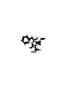 C=C[C@@H]1C[C@@]1(NC(=O)O)P(=O)(Cc1ccccn1)OCC